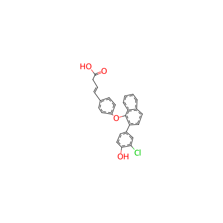 O=C(O)CC=Cc1ccc(Oc2c(-c3ccc(O)c(Cl)c3)ccc3ccccc23)cc1